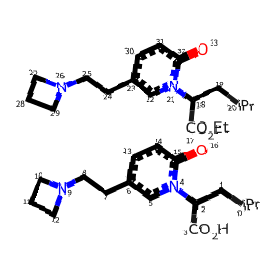 CC(C)CC(C(=O)O)n1cc(CCN2CCC2)ccc1=O.CCOC(=O)C(CC(C)C)n1cc(CCN2CCC2)ccc1=O